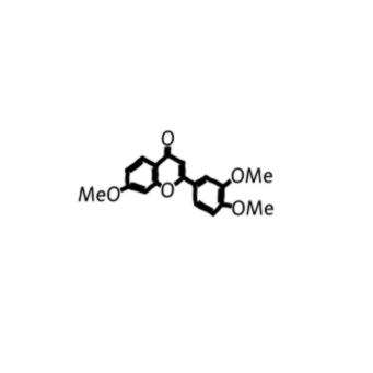 COc1ccc2c(=O)cc(-c3ccc(OC)c(OC)c3)oc2c1